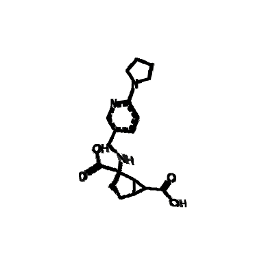 O=C(O)C1C2CCC(NCc3ccc(N4CCCC4)nc3)(C(=O)O)C21